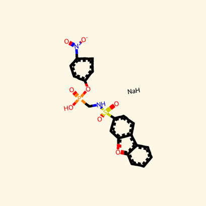 O=[N+]([O-])c1ccc(OP(=O)(O)CNS(=O)(=O)c2ccc3c(c2)oc2ccccc23)cc1.[NaH]